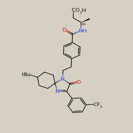 C[C@H](CC(=O)O)NC(=O)c1ccc(CCN2C(=O)C(c3cccc(C(F)(F)F)c3)=NC23CCC(C(C)(C)C)CC3)cc1